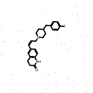 O=C1CCc2cc(/C=C\CN3CCC(Cc4ccc(F)cc4)CC3)ccc2N1